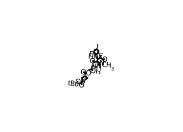 Cn1c(=O)c(F)c(Nc2ccc(I)cc2F)c2c(=O)n(CC(O)COC(=O)[C@H]3CCN(C(=O)OC(C)(C)C)C3)cnc21